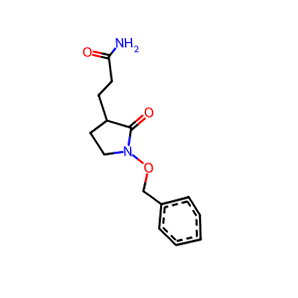 NC(=O)CCC1CCN(OCc2ccccc2)C1=O